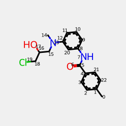 Cc1ccc(C(=O)Nc2cccc(N(C)CC(O)CCl)c2)cc1